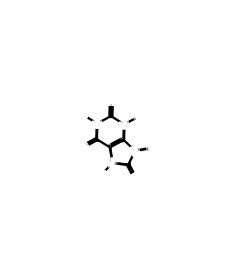 O=c1c2c(n(F)c(=O)n1F)n(F)c(=O)n2F